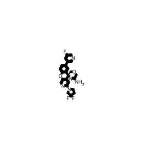 NC1=N[C@@]2(COC1)c1cc(-c3cncc(F)c3)ccc1Oc1cnc(N3CCC(F)(F)C3)cc12